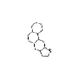 C1CCC2C(C1)CCC1CC3CCSC3CC12